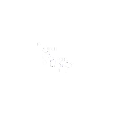 C/C(=N\c1c(C)cc(C)cc1Cl)c1cccc(/C(C)=N/c2c(C)cc(C)cc2Cl)n1